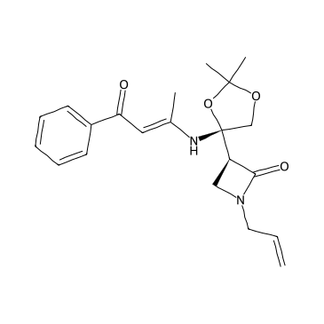 C=CCN1C[C@@H]([C@@]2(N/C(C)=C/C(=O)c3ccccc3)COC(C)(C)O2)C1=O